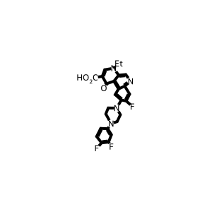 CCn1cc(C(=O)O)c(=O)c2c3cc(N4CCN(c5ccc(F)c(F)c5)CC4)c(F)cc3ncc21